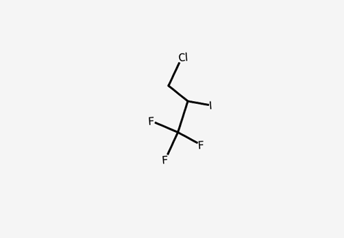 FC(F)(F)C(I)CCl